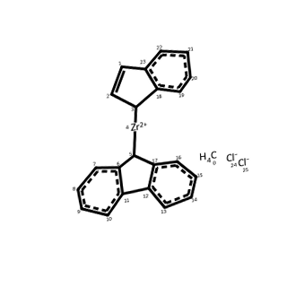 C.C1=C[CH]([Zr+2][CH]2c3ccccc3-c3ccccc32)c2ccccc21.[Cl-].[Cl-]